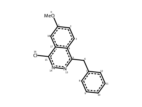 COc1ccc2c(Cc3ccccc3)nnc(Cl)c2c1